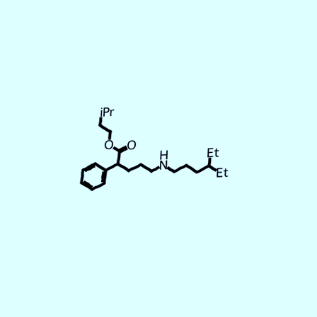 CCC(CC)CCCNCCCC(C(=O)OCCC(C)C)c1ccccc1